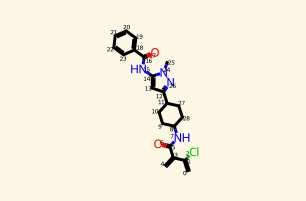 C=C(Cl)C(=C)C(=O)NC1CCC(c2cc(NC(=O)c3ccccc3)n(C)n2)CC1